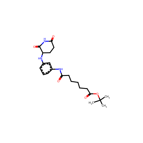 CC(C)(C)OC(=O)CCCCCC(=O)Nc1cccc(NC2CCC(=O)NC2=O)c1